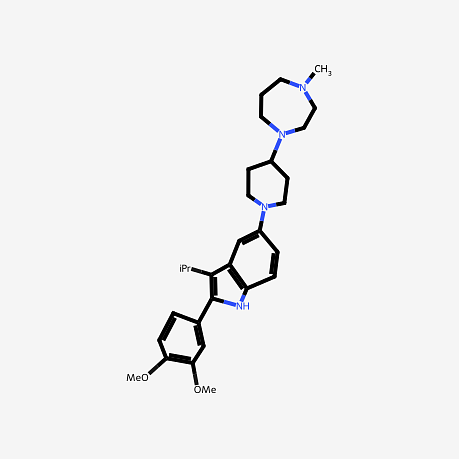 COc1ccc(-c2[nH]c3ccc(N4CCC(N5CCCN(C)CC5)CC4)cc3c2C(C)C)cc1OC